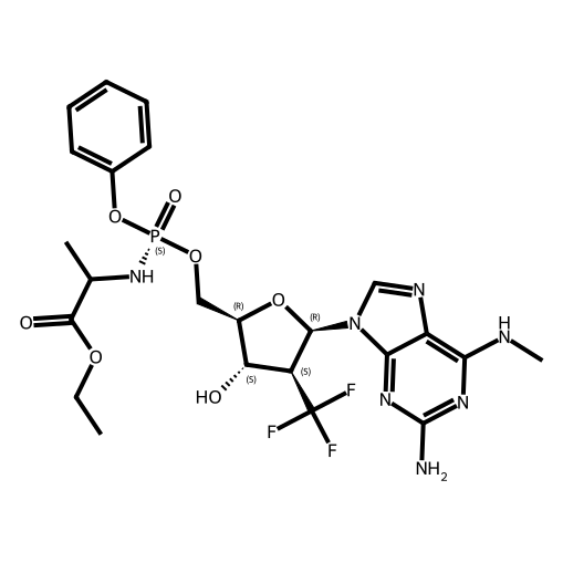 CCOC(=O)C(C)N[P@](=O)(OC[C@H]1O[C@@H](n2cnc3c(NC)nc(N)nc32)[C@@H](C(F)(F)F)[C@@H]1O)Oc1ccccc1